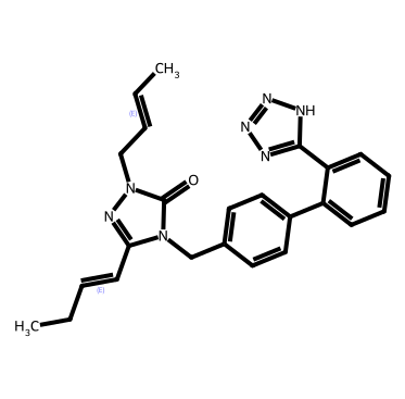 C/C=C/Cn1nc(/C=C/CC)n(Cc2ccc(-c3ccccc3-c3nnn[nH]3)cc2)c1=O